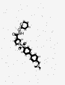 CN(C)Cc1ccc(-c2ccc(S(=O)(=O)N3CC=C(C(=O)NOC4CCCCO4)C3)cc2)cc1